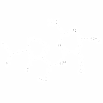 Cc1nc(N)c(C=O)c(N[C@H](C)c2cccc(C(F)F)c2F)n1